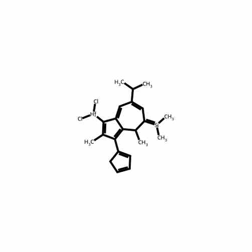 CC1=[C]([Hf]([Cl])[Cl])C2=CC(C(C)C)=CC(=[Si](C)C)C(C)C2=C1C1=CC=CC1